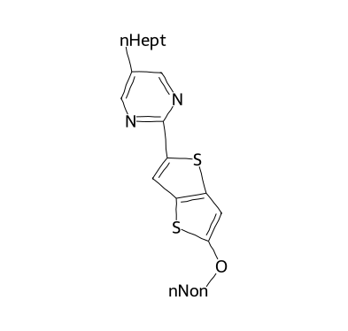 CCCCCCCCCOc1cc2sc(-c3ncc(CCCCCCC)cn3)cc2s1